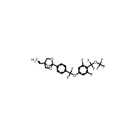 C=CC12COC(c3ccc(C(F)(F)Oc4cc(F)c(C(F)(F)OC(F)(F)F)c(F)c4)cc3)(OC1)O2